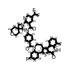 O=C(Nc1ccc(C(=O)N2CCc3c(sc4c(=O)[nH]c5c(F)cccc5c34)-c3ccc(F)cc32)cc1)c1cc(C(F)F)cnc1N1CC2(CCOCC2)C1